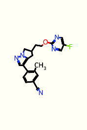 Cc1cc(C#N)ccc1-c1cnn2c1CC(CCOc1ncc(F)cn1)C2